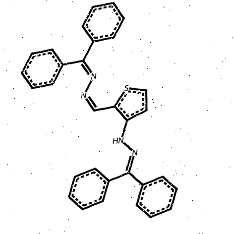 C(=N/N=C(c1ccccc1)c1ccccc1)/c1sccc1NN=C(c1ccccc1)c1ccccc1